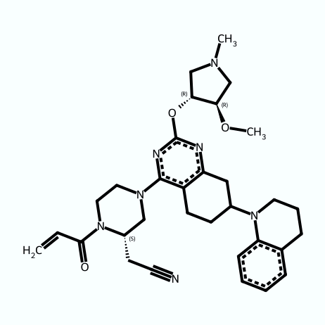 C=CC(=O)N1CCN(c2nc(O[C@@H]3CN(C)C[C@H]3OC)nc3c2CCC(N2CCCc4ccccc42)C3)C[C@@H]1CC#N